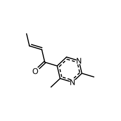 CC=CC(=O)c1cnc(C)nc1C